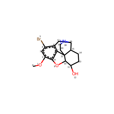 COc1cc(Br)c2c3c1OC1C(O)CCC4C(C2)NCCC341